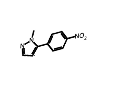 Cn1nc[c]c1-c1ccc([N+](=O)[O-])cc1